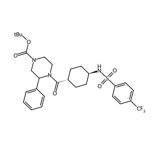 CC(C)(C)OC(=O)N1CCN(C(=O)[C@H]2CC[C@H](NS(=O)(=O)c3ccc(C(F)(F)F)cc3)CC2)C(c2ccccc2)C1